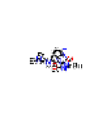 CCCCn1nc(CC)c2c1C(=O)Nc1ccccc1N2C(=O)C(C)N(C)CCN(CC)CC